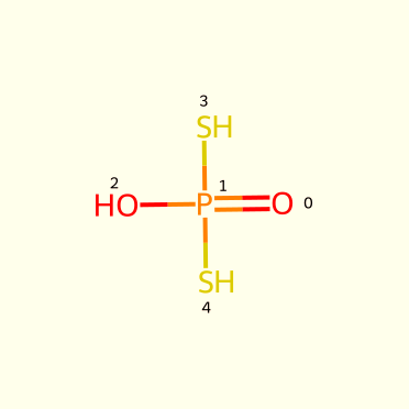 O=P(O)(S)S